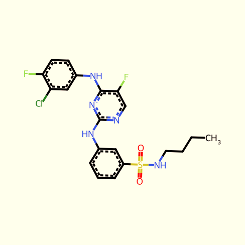 CCCCNS(=O)(=O)c1cccc(Nc2ncc(F)c(Nc3ccc(F)c(Cl)c3)n2)c1